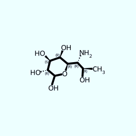 C[C@@H](O)[C@@H](N)[C@H]1OC(O)[C@H](O)[C@@H](O)[C@H]1O